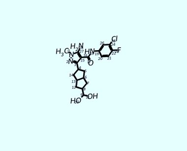 Cn1nc(C2CC3CC(C(O)O)CC3C2)c(C(=O)Nc2ccc(F)c(Cl)c2)c1N